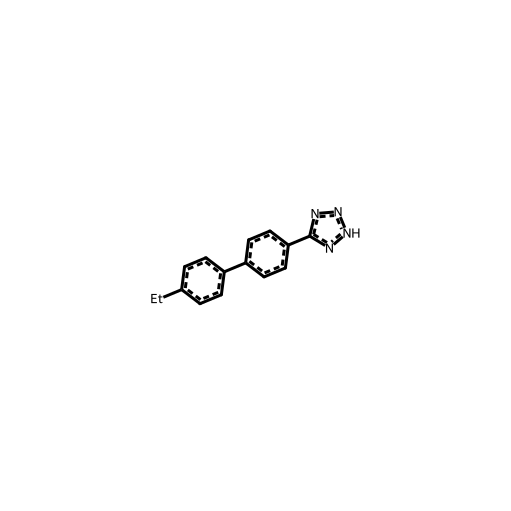 CCc1ccc(-c2ccc(-c3nn[nH]n3)cc2)cc1